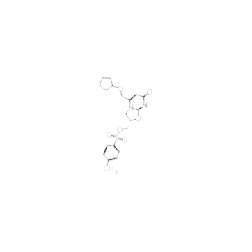 Cc1ccc(S(=O)(=O)OC[C@@H]2Cn3c(COC4CCCC4)cc(=O)nc3O2)cc1